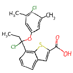 CCC(Cl)(Oc1cc(C)c(Cl)c(C)c1)c1cccc2cc(C(=O)O)sc12